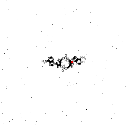 C[C@@H]1[C@@H]2O[PH](=O)OC[C@H]3O[C@@H](n4cnc5c4N=CNC5N)[C@H](O[PH](=O)OC[C@H]2O[C@H]1n1cnc2c(N)ncnc21)[C@@H]3F